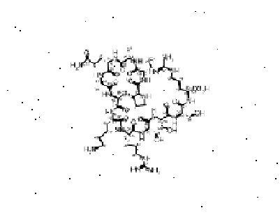 CC(C)C[C@H](NC(=O)[C@@H]1CCCN1)C(=O)N[C@@H](C)C(=O)N[C@@H](CCC(N)=O)C(=O)N[C@@H](C)C(=O)N[C@H](C(=O)N[C@@H](CCCCN)C(=O)N[C@@H](CCCNC(=N)N)C(=O)N[C@@H](CO)C(=O)N[C@@H](CO)C(=O)N[C@@H](CO)C(=O)N[C@@H](CCCNC(=N)N)C(=O)O)C(C)C